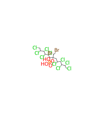 O=P(O)(O)OC(CC(Cl)C(Cl)C(Cl)C(Cl)CCl)(CC(Cl)C(Cl)C(Cl)C(Cl)CCl)C(Br)CBr